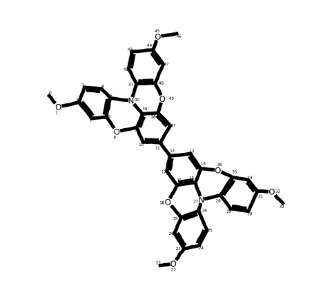 COc1ccc2c(c1)Oc1cc(-c3cc4c5c(c3)Oc3cc(OC)ccc3N5c3ccc(OC)cc3O4)cc3c1N2c1ccc(OC)cc1O3